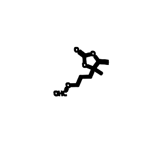 C=C1OC(=O)OC1(C)CCCOC=O